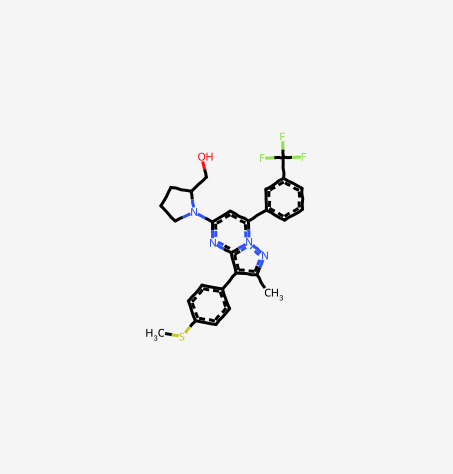 CSc1ccc(-c2c(C)nn3c(-c4cccc(C(F)(F)F)c4)cc(N4CCCC4CO)nc23)cc1